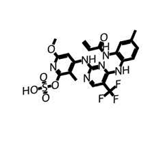 C=CC(=O)Nc1cc(C)ccc1Nc1nc(Nc2cc(OC)nc(OS(=O)(=O)O)c2C)ncc1C(F)(F)F